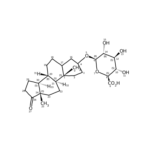 C[C@]12CCC(O[C@@H]3O[C@H](C(=O)O)[C@@H](O)[C@H](O)[C@H]3O)CC1CC[C@@H]1[C@@H]2CC[C@]2(C)C(=O)CC[C@@H]12